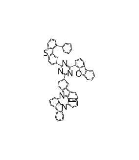 c1ccc(-c2cccc3sc4ccc(-c5nc(-c6ccc7c(c6)c6ccccc6n7-c6cccc7c8ccccc8n(-c8ccccc8)c67)nc(-c6cccc7c6oc6ccccc67)n5)cc4c23)cc1